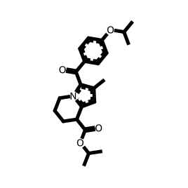 Cc1cc2n(c1C(=O)c1ccc(OC(C)C)cc1)CCCC2C(=O)OC(C)C